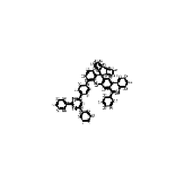 c1ccc(-c2cc(-c3ccc(-c4cccc5c4Sc4cc6c(-c7ccccc7)nc7ccccc7c6cc4C54c5ccccc5-c5ccccc54)cc3)nc(-c3ccccc3)n2)cc1